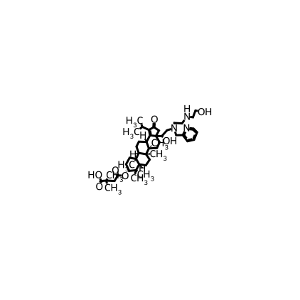 CC(C)C1=C2[C@H]3CC[C@@H]4[C@@]5(C)CC[C@H](OC(=O)CC(C)(C)C(=O)O)C(C)(C)[C@H]5CC[C@@]4(C)[C@]3(C)CCC2(C(O)CN(CCNCCO)Cc2ccccn2)CC1=O